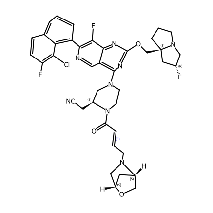 N#CC[C@H]1CN(c2nc(OC[C@@]34CCCN3C[C@H](F)C4)nc3c(F)c(-c4cccc5ccc(F)c(Cl)c45)ncc23)CCN1C(=O)/C=C/CN1C[C@@H]2C[C@H]1CO2